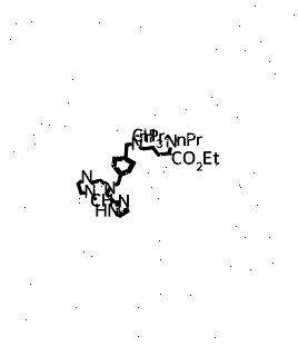 CCCN(CCC)[C@H](CCCN(C)Cc1ccc(CN(CC2=NCCN2C)Cc2ncc[nH]2)cc1)C(=O)OCC